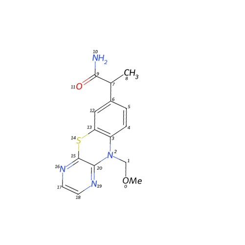 COCN1c2ccc(C(C)C(N)=O)cc2Sc2nccnc21